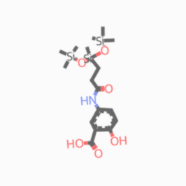 C[Si](C)(C)O[Si](C)(CCC(=O)Nc1ccc(O)c(C(=O)O)c1)O[Si](C)(C)C